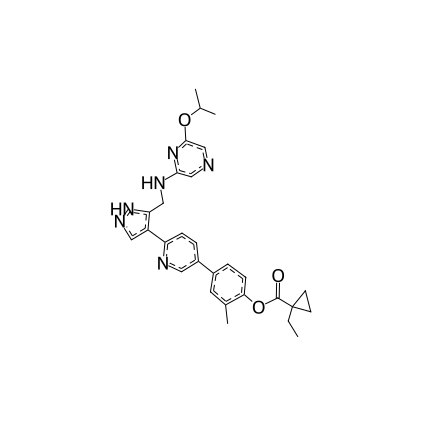 CCC1(C(=O)Oc2ccc(-c3ccc(-c4cn[nH]c4CNc4cncc(OC(C)C)n4)nc3)cc2C)CC1